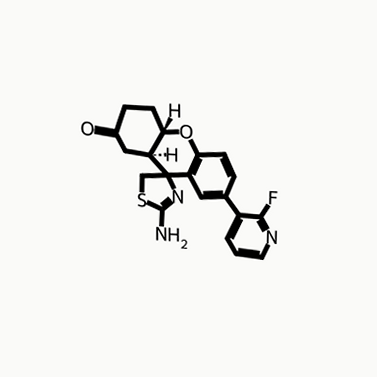 NC1=NC2(CS1)c1cc(-c3cccnc3F)ccc1O[C@H]1CCC(=O)C[C@@H]12